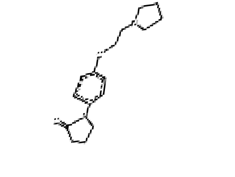 O=C1CCCN1c1ccc(OCCN2CCCC2)cc1